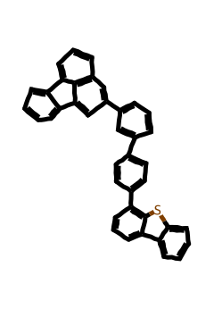 c1cc(-c2ccc(-c3cccc4c3sc3ccccc34)cc2)cc(-c2cc3c4c(cccc4c2)-c2ccccc2-3)c1